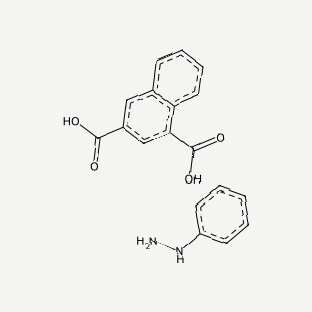 NNc1ccccc1.O=C(O)c1cc(C(=O)O)c2ccccc2c1